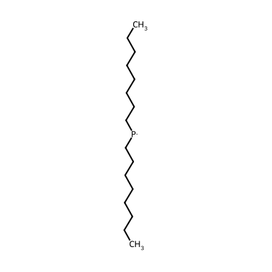 CCCCCCCC[P]CCCCCCCC